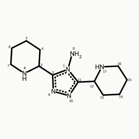 Nn1c(C2CCCCN2)nnc1C1CCCCN1